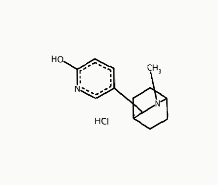 CN1C2CCC(CC2)C1c1ccc(O)nc1.Cl